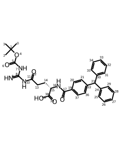 CC(C)(C)OC(=O)NC(=N)NC(=O)CC[C@H](NC(=O)c1ccc(C(c2ccccc2)c2ccccc2)cc1)C(=O)O